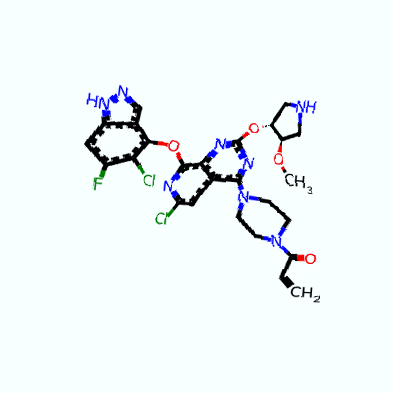 C=CC(=O)N1CCN(c2nc(O[C@@H]3CNC[C@H]3OC)nc3c(Oc4c(Cl)c(F)cc5[nH]ncc45)nc(Cl)cc23)CC1